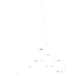 CCCCCCCCCCCCC(=O)N1Cc2ccccc2CC1C(=O)NCCCCCCN